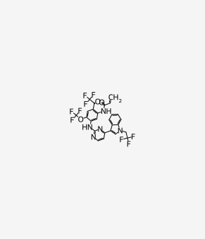 C=CC(=O)Nc1cc(Nc2nccc(-c3cn(CC(F)(F)F)c4ccccc34)n2)c(OC(F)(F)F)cc1C(=O)C(F)(F)F